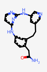 NC(=O)Cc1ccc2cc1CCc1cncc(c1)Nc1nccc(n1)N2